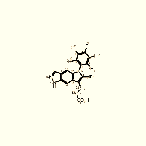 [2H]c1c([2H])c(-n2c(C(C)C)c([13CH2][13CH2][13C](=O)O)c3cc4[nH]ncc4cc32)c([2H])c([2H])c1F